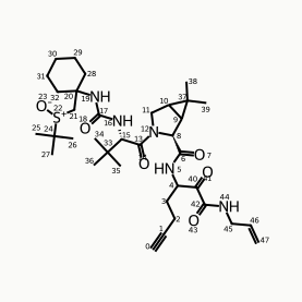 C#CCCC(NC(=O)[C@@H]1C2C(CN1C(=O)[C@@H](NC(=O)NC1(C[S+]([O-])C(C)(C)C)CCCCC1)C(C)(C)C)C2(C)C)C(=O)C(=O)NCC=C